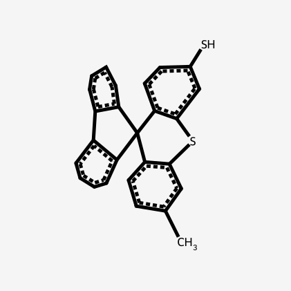 Cc1ccc2c(c1)Sc1cc(S)ccc1C21c2ccccc2-c2ccccc21